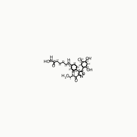 CCNC(=O)c1noc(-c2cc(Cl)c(O)cc2O)c1-c1ccc(NCCCCC(=O)NO)cc1